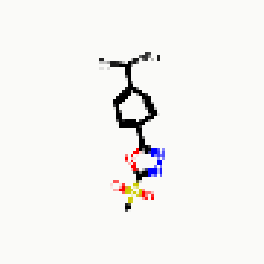 CCCCC(CC)c1ccc(-c2nnc(S(C)(=O)=O)o2)cc1